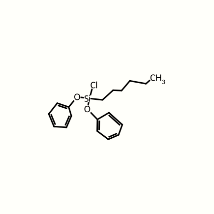 CCCCCC[Si](Cl)(Oc1ccccc1)Oc1ccccc1